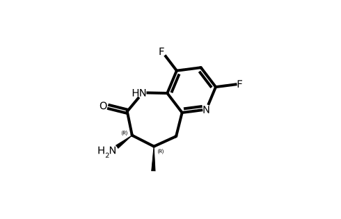 C[C@@H]1Cc2nc(F)cc(F)c2NC(=O)[C@@H]1N